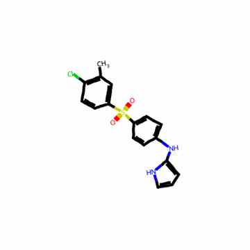 Cc1cc(S(=O)(=O)c2ccc(Nc3ccc[nH]3)cc2)ccc1Cl